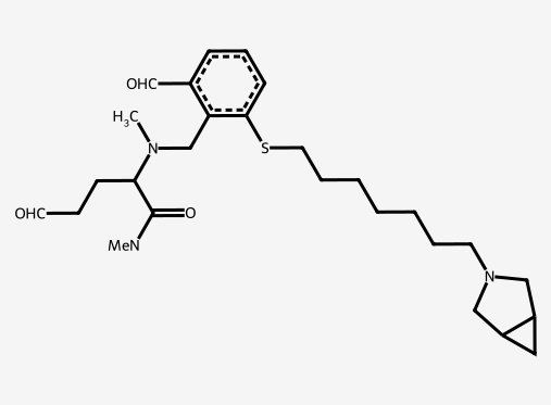 CNC(=O)C(CCC=O)N(C)Cc1c(C=O)cccc1SCCCCCCCN1CC2CC2C1